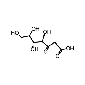 O=C(O)CC(=O)[C@H](O)[C@H](O)[C@H](O)CO